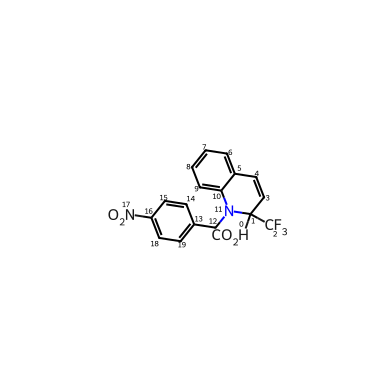 O=C(O)C1(C(F)(F)F)C=Cc2ccccc2N1Cc1ccc([N+](=O)[O-])cc1